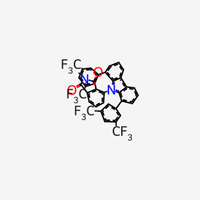 CN1C(=O)c2cccc(-n3c4c(-c5cc(C(F)(F)F)cc(C(F)(F)F)c5)cccc4c4cccc(-c5cc(C(F)(F)F)cc(C(F)(F)F)c5)c43)c2C1=O